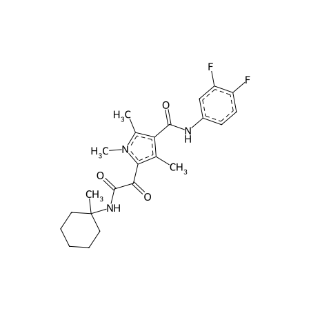 Cc1c(C(=O)Nc2ccc(F)c(F)c2)c(C)n(C)c1C(=O)C(=O)NC1(C)CCCCC1